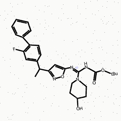 CC(c1ccc(-c2ccccc2)c(F)c1)c1cc(/N=C(/NC(=O)OC(C)(C)C)N2CCC(O)CC2)on1